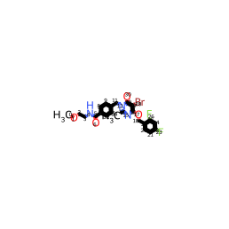 COCCNC(=O)c1ccc(Cn2c(C)nc(OCc3ccc(F)cc3F)c(Br)c2=O)cc1